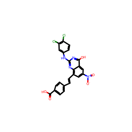 O=C(O)c1ccc(C=Cc2cc([N+](=O)[O-])cc3c(O)nc(Nc4ccc(Cl)c(Cl)c4)nc23)cc1